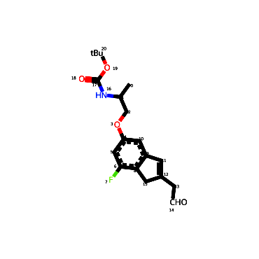 CC(COc1cc(F)c2c(c1)C=C(CC=O)C2)NC(=O)OC(C)(C)C